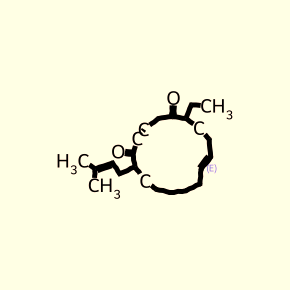 CCC1CC/C=C/CCCCCC(CC=C(C)C)C(=O)CCCC1=O